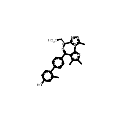 Cc1cc(O)ccc1-c1ccc(C2=N[C@@H](CC(=O)O)c3nnc(C)n3-c3sc(C)c(C)c32)cc1